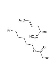 C=C(C)C(=O)O.C=CC(=O)OCCCCCC(C)C.C=COC(C)=O